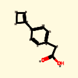 O=C(O)Cc1ccc(C2=CCC2)cc1